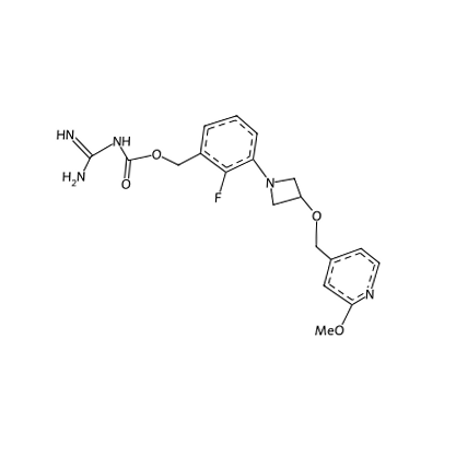 COc1cc(COC2CN(c3cccc(COC(=O)NC(=N)N)c3F)C2)ccn1